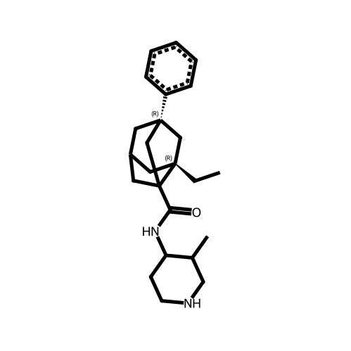 CC[C@]12CC3CC1(C(=O)NC1CCNCC1C)C[C@@](c1ccccc1)(C3)C2